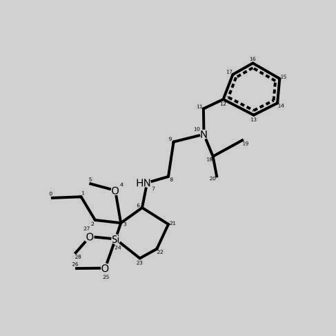 CCCC1(OC)C(NCCN(Cc2ccccc2)C(C)C)CCC[Si]1(OC)OC